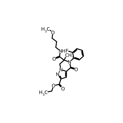 CCOC(=O)c1cc2n(n1)CC(C)(C(=O)NCCCOC)N(c1ccccc1F)C2=O